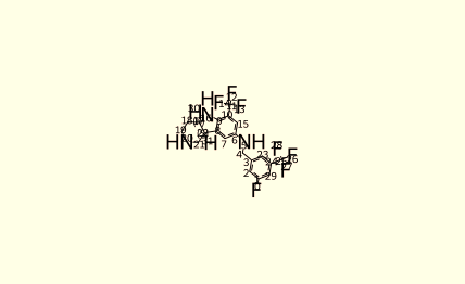 Fc1cc(CNc2cc3c(c(C(F)(F)F)c2)N[C@@H]2CCNC[C@H]32)cc(C(F)(F)F)c1